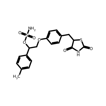 Cc1ccc(C(COc2ccc(CC3SC(=O)NC3=O)cc2)OS(N)(=O)=O)cc1